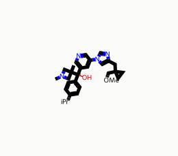 COCC1(Cc2cn(-c3cncc([C@@](O)(c4ccc(C(C)C)cc4)C4(C)CN(C)C4)c3)cn2)CC1